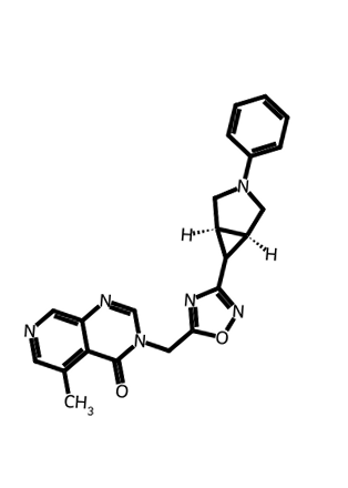 Cc1cncc2ncn(Cc3nc(C4[C@H]5CN(c6ccccc6)C[C@@H]45)no3)c(=O)c12